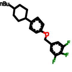 CCCCC1CCC(c2ccc(OCc3cc(F)c(F)c(F)c3)cc2)CC1